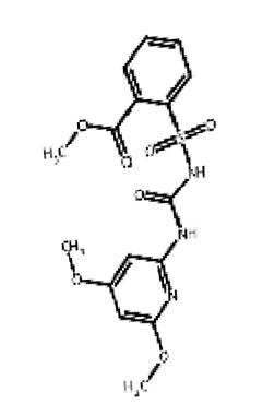 COC(=O)c1ccccc1S(=O)(=O)NC(=O)Nc1cc(OC)cc(OC)n1